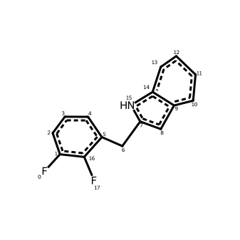 Fc1cccc(Cc2cc3ccccc3[nH]2)c1F